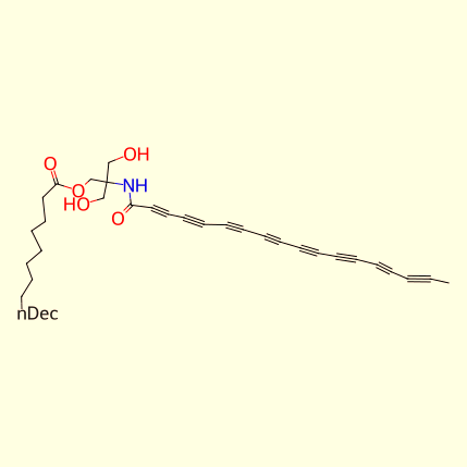 CC#CC#CC#CC#CC#CC#CC#CC#CC(=O)NC(CO)(CO)COC(=O)CCCCCCCCCCCCCCCCC